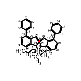 CC[CH2][Hf]([CH3])([CH3])([CH3])(=[SiH2])([CH]1C=Cc2c(-c3ccccc3)cccc21)[CH]1C=Cc2c(-c3ccccc3)cccc21